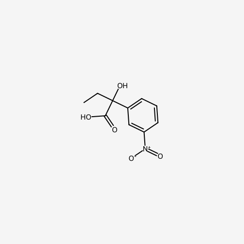 CCC(O)(C(=O)O)c1cccc([N+](=O)[O-])c1